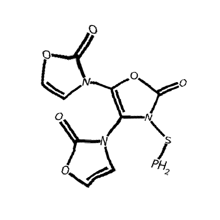 O=c1occn1-c1oc(=O)n(SP)c1-n1ccoc1=O